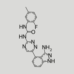 Cc1ccc(F)c(NC(=O)Nc2ncc(-c3cccc4[nH]nc(N)c34)nn2)c1